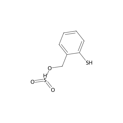 O=[SH](=O)OCc1ccccc1S